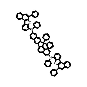 c1ccc(-c2cc3ccccc3c3c2oc2c(N(c4ccccc4)c4ccc5cc6c(cc5c4)C(c4ccccc4)(c4ccccc4)c4c-6ccc5cc(N(c6ccccc6)c6cccc7c6oc6c(-c8ccccc8)cc8ccccc8c67)ccc45)cccc23)cc1